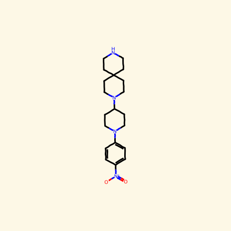 O=[N+]([O-])c1ccc(N2CCC(N3CCC4(CCNCC4)CC3)CC2)cc1